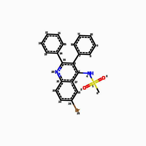 CS(=O)(=O)Nc1c(-c2ccccc2)c(-c2ccccc2)nc2ccc(Br)cc12